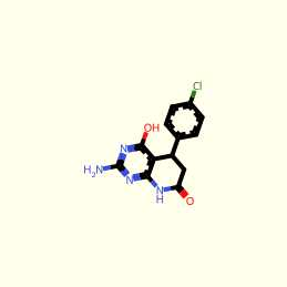 Nc1nc(O)c2c(n1)NC(=O)CC2c1ccc(Cl)cc1